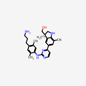 Cc1cc(CCCN)c(C#N)cc1Nc1nccc(-c2cc(C#N)c3c(c2)[C@@](C)(CO)CN3)n1